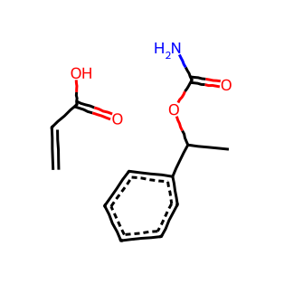 C=CC(=O)O.CC(OC(N)=O)c1ccccc1